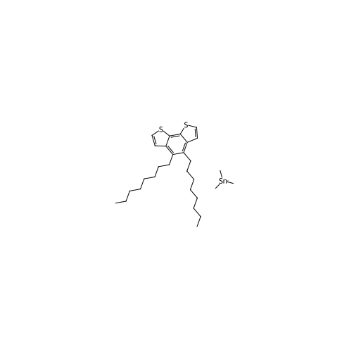 CCCCCCCCc1c(CCCCCCCC)c2ccsc2c2sccc12.[CH3][Sn]([CH3])[CH3]